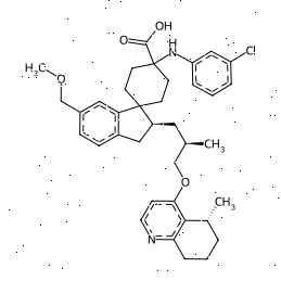 COCc1ccc2c(c1)C1(CCC(Nc3cccc(Cl)c3)(C(=O)O)CC1)[C@@H](C[C@@H](C)COc1ccnc3c1[C@H](C)CCC3)C2